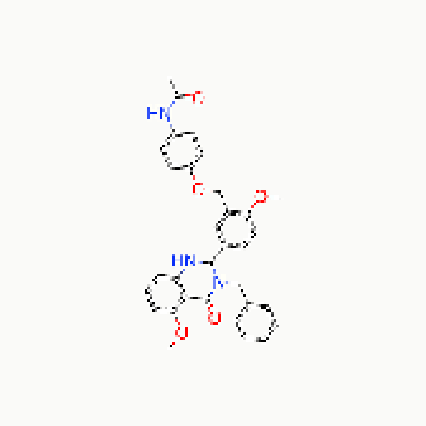 COc1ccc(C2Nc3cccc(OC)c3C(=O)N2Cc2ccccc2)cc1COc1ccc(NC(C)=O)cc1